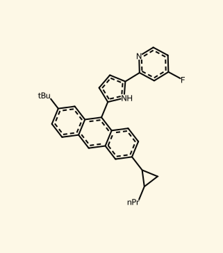 CCCC1CC1c1ccc2c(-c3ccc(-c4cc(F)ccn4)[nH]3)c3cc(C(C)(C)C)ccc3cc2c1